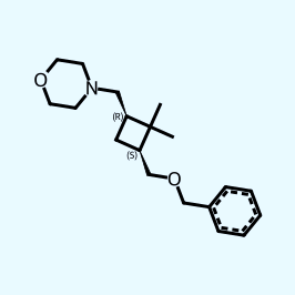 CC1(C)[C@@H](COCc2ccccc2)C[C@H]1CN1CCOCC1